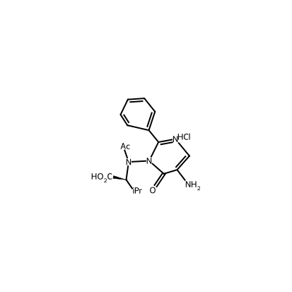 CC(=O)N([C@H](C(=O)O)C(C)C)n1c(-c2ccccc2)ncc(N)c1=O.Cl